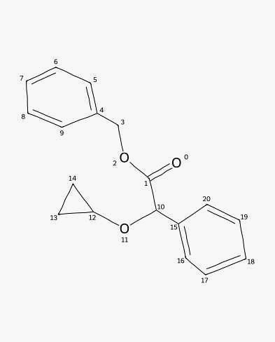 O=C(OCc1ccccc1)C(OC1CC1)c1ccccc1